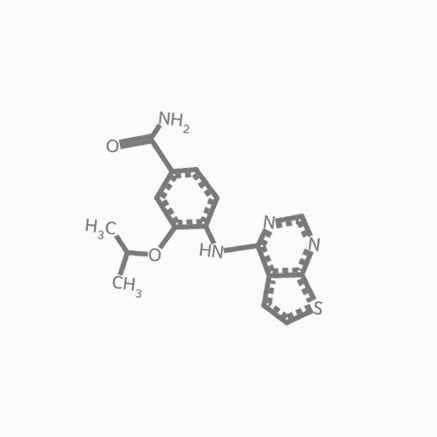 CC(C)Oc1cc(C(N)=O)ccc1Nc1ncnc2sccc12